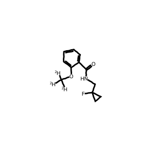 [2H]C([2H])([2H])Oc1ccccc1C(=O)NCC1(F)CC1